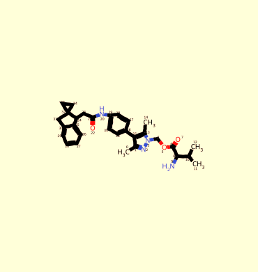 Cc1nn(COC(=O)C(N)C(C)C)c(C)c1-c1ccc(NC(=O)CC2c3ccccc3CC23CC3)cc1